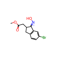 COC(=O)CC1Cc2ccc(Br)cc2/C1=N/O